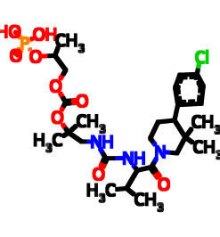 CC(COC(=O)OC(C)(C)CNC(=O)NC(C(=O)N1CCC(c2ccc(Cl)cc2)C(C)(C)C1)C(C)C)OP(=O)(O)O